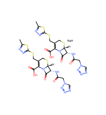 Cc1nnc(SCC2=C(C(=O)O)N3C(=O)[C@@H](NC(=O)Cn4cnnn4)[C@H]3SC2)s1.Cc1nnc(SCC2=C(C(=O)O)N3C(=O)[C@@H](NC(=O)Cn4cnnn4)[C@H]3SC2)s1.[NaH]